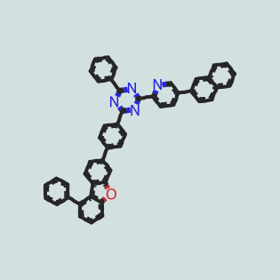 c1ccc(-c2nc(-c3ccc(-c4ccc5c(c4)oc4cccc(-c6ccccc6)c45)cc3)nc(-c3ccc(-c4ccc5ccccc5c4)cn3)n2)cc1